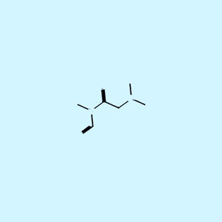 CN(C)CC(=O)N(C)C=S